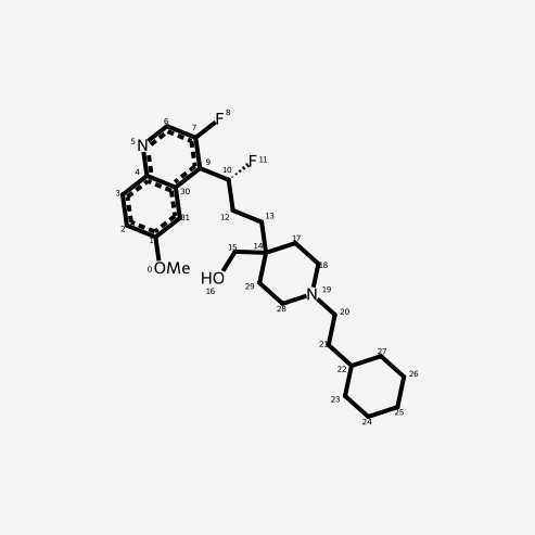 COc1ccc2ncc(F)c([C@H](F)CCC3(CO)CCN(CCC4CCCCC4)CC3)c2c1